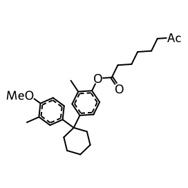 COc1ccc(C2(c3ccc(OC(=O)CCCCCC(C)=O)c(C)c3)CCCCC2)cc1C